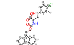 Cc1cc(CCC(NC(=O)OCC2c3ccccc3-c3ccccc32)C(=O)O)cc(C)c1Cl